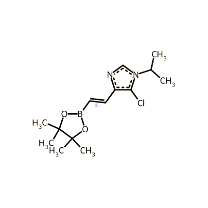 CC(C)n1cnc(/C=C/B2OC(C)(C)C(C)(C)O2)c1Cl